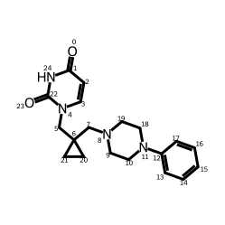 O=c1ccn(CC2(CN3CCN(c4ccccc4)CC3)CC2)c(=O)[nH]1